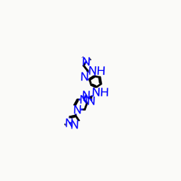 CN(C)Cc1nc2cc(Nc3nc4n(n3)C=CN(c3cnn(C)c3)C4)ccc2[nH]1